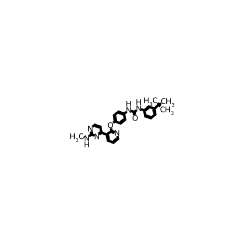 CNc1nccc(-c2cccnc2Oc2ccc(NC(=O)Nc3cccc(C(C)(C)C)c3)cc2)n1